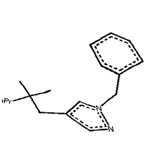 CCCC(C)(C)Cc1cnn(Cc2ccccc2)c1